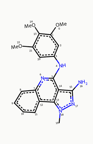 COc1cc(Nc2nc3ccccc3c3c2c(N)nn3C)cc(OC)c1OC